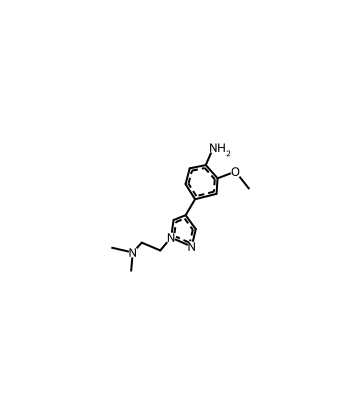 COc1cc(-c2cnn(CCN(C)C)c2)ccc1N